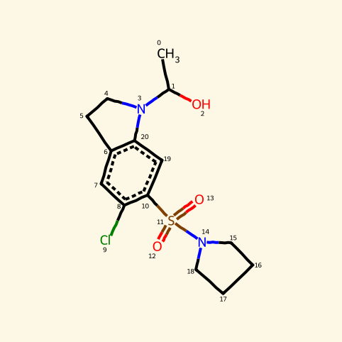 CC(O)N1CCc2cc(Cl)c(S(=O)(=O)N3CCCC3)cc21